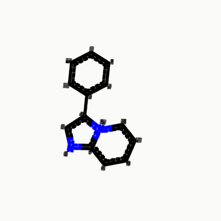 c1ccc(-c2cnc3ccccn23)cc1